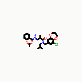 CC(=O)OC(NCC(C)C(=O)N(Cc1cc(Cl)c2c(c1)OCCCO2)CC(C)C)c1ccccc1